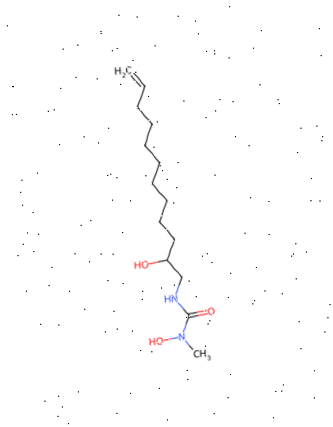 C=CCCCCCCCCC(O)CNC(=O)N(C)O